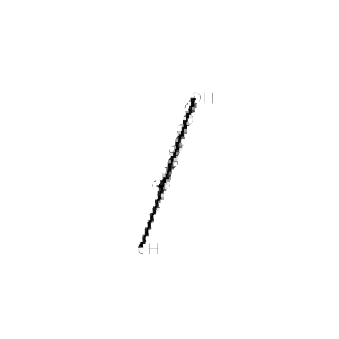 CCCCCCCCCCCCCCCCCC(=O)OCCOCCOCCOCCOCCOCCOCCOCCO